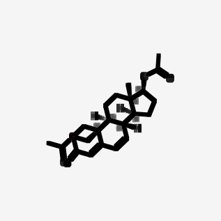 CC(=O)OC[C@]12CCC(=O)C=C1C=C[C@@H]1[C@@H]2CC[C@]2(C)[C@@H](OC(C)=O)CC[C@@H]12